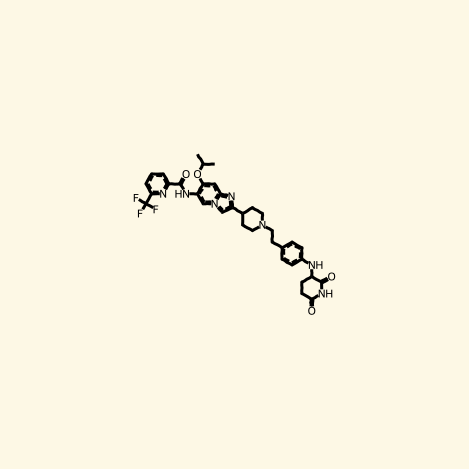 CC(C)Oc1cc2nc(C3CCN(CCc4ccc(NC5CCC(=O)NC5=O)cc4)CC3)cn2cc1NC(=O)c1cccc(C(F)(F)F)n1